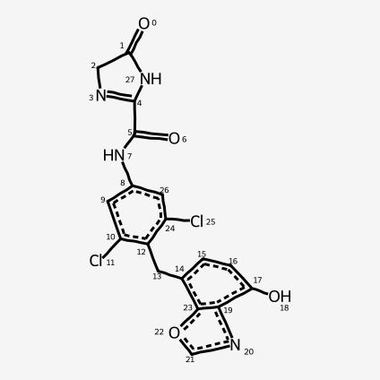 O=C1CN=C(C(=O)Nc2cc(Cl)c(Cc3ccc(O)c4ncoc34)c(Cl)c2)N1